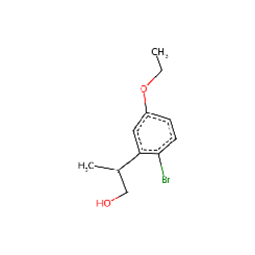 CCOc1ccc(Br)c([C](C)CO)c1